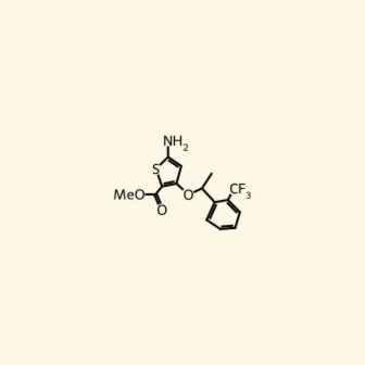 COC(=O)c1sc(N)cc1OC(C)c1ccccc1C(F)(F)F